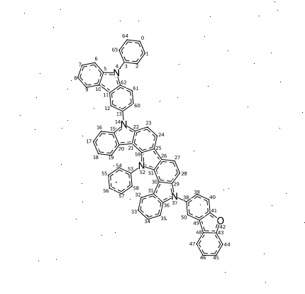 c1ccc(-n2c3ccccc3c3cc(-n4c5ccccc5c5c4ccc4c6ccc7c(c8ccccc8n7-c7ccc8oc9ccccc9c8c7)c6n(-c6ccccc6)c45)ccc32)cc1